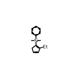 CCC1=C([Si](C)(C)c2ccccc2)CC=C1